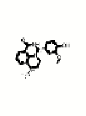 COc1cc([C@H]2NC(=O)c3cccc4c3N2CC[C@@H]4N)ccc1O